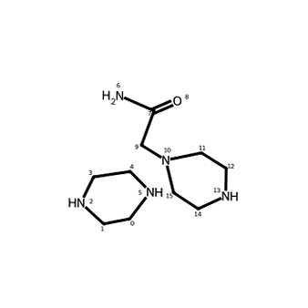 C1CNCCN1.NC(=O)CN1CCNCC1